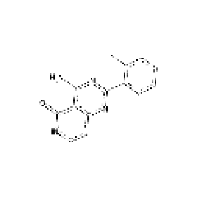 Cc1ccccc1-c1nc(N)c2c(=O)[nH]ccc2n1